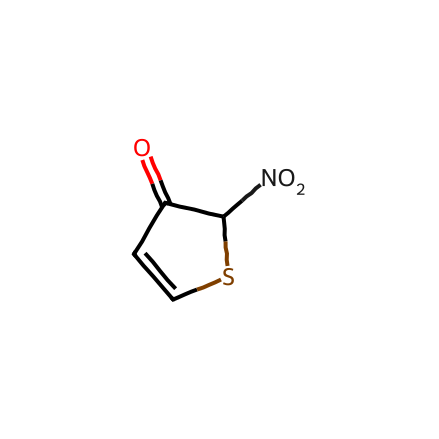 O=C1C=CSC1[N+](=O)[O-]